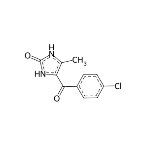 Cc1[nH]c(=O)[nH]c1C(=O)c1ccc(Cl)cc1